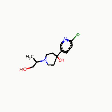 CC(CO)N1CCC(O)(c2ccc(Br)nc2)CC1